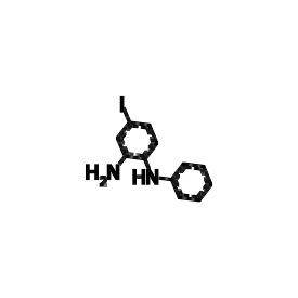 Nc1cc(I)ccc1Nc1ccccc1